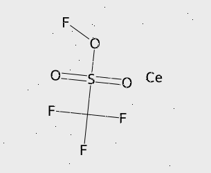 O=S(=O)(OF)C(F)(F)F.[Ce]